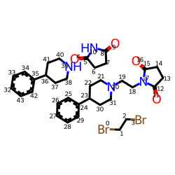 BrCCBr.O=C1CCC(=O)N1.O=C1CCC(=O)N1CCN1CCC(c2ccccc2)CC1.c1ccc(C2CCNCC2)cc1